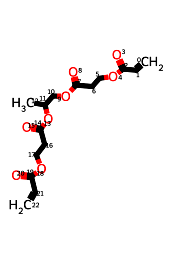 C=CC(=O)OCCC(=O)OCC(C)OC(=O)CCOC(=O)C=C